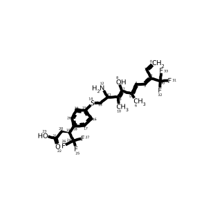 C=C\C(=C/C=C(C)/C(O)=C(\C)C(N)CSc1ccc([C@H](CC(=O)O)C(F)(F)F)cc1)C(F)(F)F